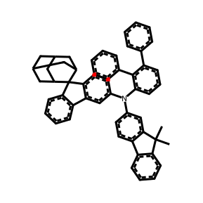 CC1(C)c2ccccc2-c2ccc(N(c3ccc4c(c3)-c3ccccc3C43C4CC5CC(C4)CC3C5)c3cccc(-c4ccccc4)c3-c3ccccc3)cc21